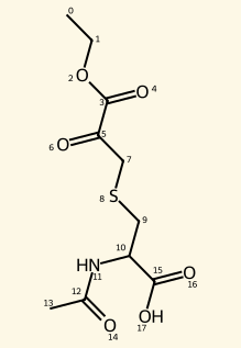 CCOC(=O)C(=O)CSCC(NC(C)=O)C(=O)O